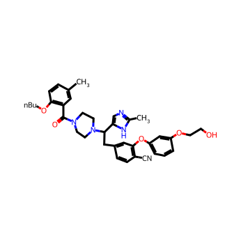 CCCCOc1ccc(C)cc1C(=O)N1CCN(C(Cc2ccc(C#N)c(Oc3cccc(OCCO)c3)c2)c2cnc(C)[nH]2)CC1